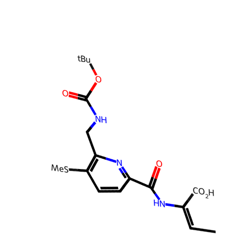 C/C=C(/NC(=O)c1ccc(SC)c(CNC(=O)OC(C)(C)C)n1)C(=O)O